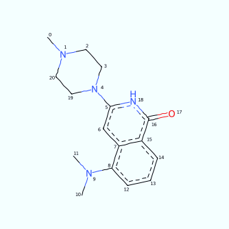 CN1CCN(c2cc3c(N(C)C)cccc3c(=O)[nH]2)CC1